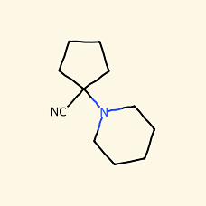 N#CC1(N2CCCCC2)CCCC1